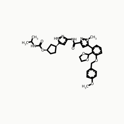 COc1ccc(COc2cccc(-c3cc(C(=O)Nc4cc([C@H]5CC[C@@H](OC(=O)NC(C)C)C5)[nH]n4)nn3C)c2C2OCCO2)cc1